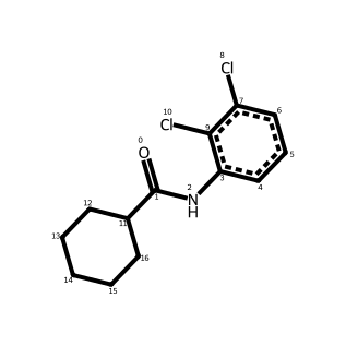 O=C(Nc1cccc(Cl)c1Cl)C1CCCCC1